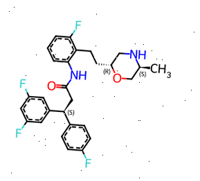 C[C@H]1CO[C@H](CCc2c(F)cccc2NC(=O)C[C@@H](c2ccc(F)cc2)c2cc(F)cc(F)c2)CN1